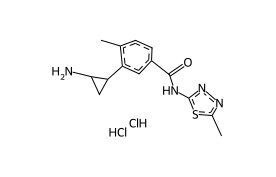 Cc1nnc(NC(=O)c2ccc(C)c(C3CC3N)c2)s1.Cl.Cl